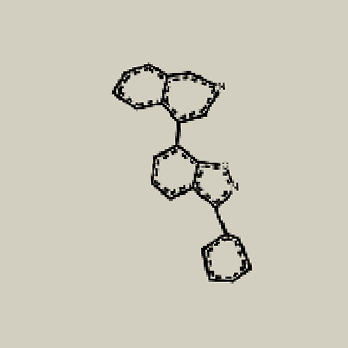 c1ccc(-c2noc3c(-c4cncc5ccccc45)cccc23)cc1